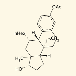 C=C[C@@]12CCc3cc(OC(C)=O)ccc3[C@H]1[C@@H](CCCCCC)C[C@@]1(C)[C@H]2CC[C@@H]1O